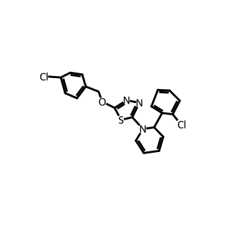 Clc1ccc(COc2nnc(N3C=CC=CC3c3ccccc3Cl)s2)cc1